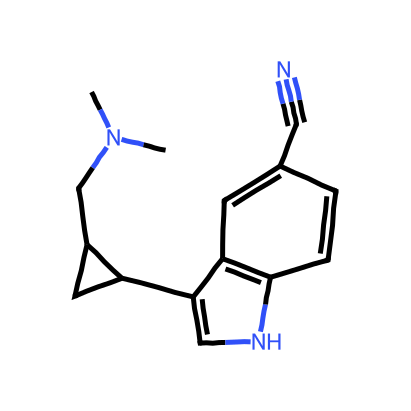 CN(C)CC1CC1c1c[nH]c2ccc(C#N)cc12